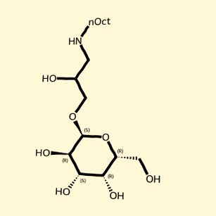 CCCCCCCCNCC(O)CO[C@H]1O[C@H](CO)[C@H](O)[C@H](O)[C@H]1O